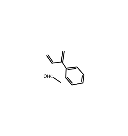 C=CC(=C)c1ccccc1.CC=O